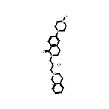 N#CN1CCN(c2ccc3c(c2)CCN(C[C@H](O)CN2CCc4ccccc4C2)C3=O)CC1